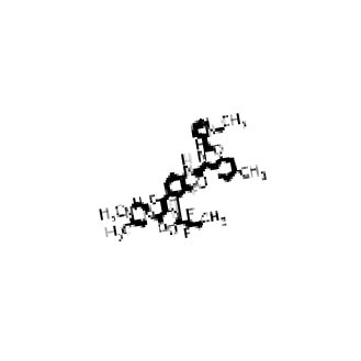 CCn1nccc1C(=O)N[C@H](C(=O)Nc1ccc([C@H](C)[C@@H](NC(=O)C(F)(F)CC)C(=O)N2CCN(C)[C@H](C)C2)cc1F)[C@H]1CC[C@H](C)CC1